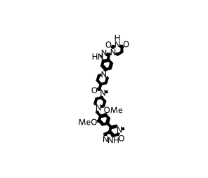 COc1cc(-c2cn(C)c(=O)c3[nH]ncc23)cc(OC)c1CN1CCC(N(C)C(=O)C2CCN(c3ccc4c(N5CCC(=O)NC5=O)n[nH]c4c3)CC2)CC1